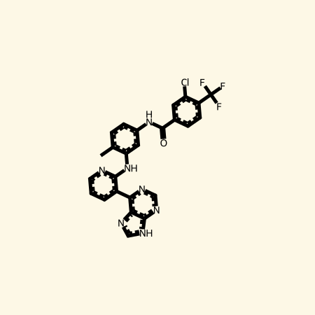 Cc1ccc(NC(=O)c2ccc(C(F)(F)F)c(Cl)c2)cc1Nc1ncccc1-c1ncnc2[nH]cnc12